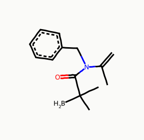 BC(C)(C)C(=O)N(Cc1ccccc1)C(=C)C